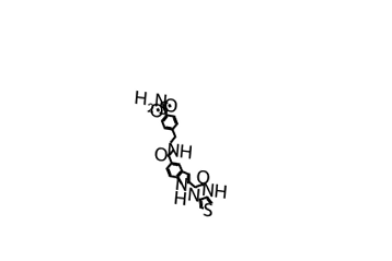 NS(=O)(=O)c1ccc(CCNC(=O)c2ccc3[nH]c(-c4nc5cscc5[nH]c4=O)cc3c2)cc1